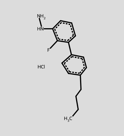 CCCCc1ccc(-c2cccc(NN)c2F)cc1.Cl